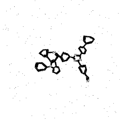 N#Cc1ccc(-c2nc(-c3ccc(-c4ccccc4)cc3)nc(-c3ccc(-c4nc5ccccc5c5c4c4ccccc4n5-c4ccccc4)cc3)n2)cc1